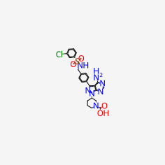 Nc1ncnc2c1c(-c1ccc(CNS(=O)(=O)c3cccc(Cl)c3)cc1)nn2[C@@H]1CCCN(C(=O)O)C1